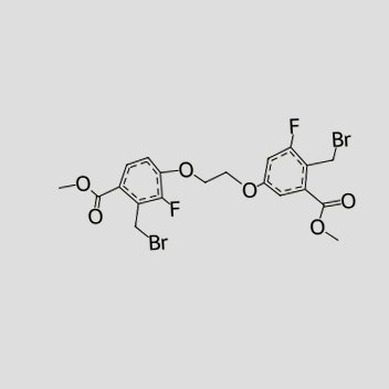 COC(=O)c1cc(OCCOc2ccc(C(=O)OC)c(CBr)c2F)cc(F)c1CBr